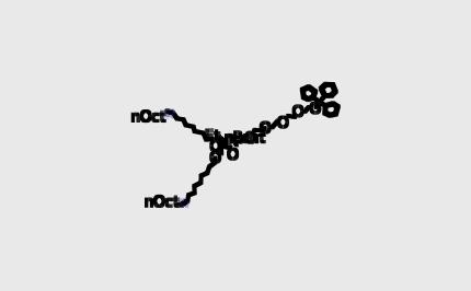 CCCCCCCC/C=C\CCCCCCCCOCC(OCCCCCCCC/C=C\CCCCCCCC)(C(=O)NCCOCCOCCOCCOCCOC(c1ccccc1)(c1ccccc1)c1ccccc1)C(CC)CCCCC